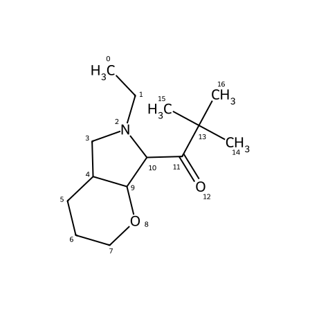 CCN1CC2CCCOC2C1C(=O)C(C)(C)C